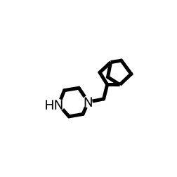 C1CN(CC2CC3CCC2C3)CCN1